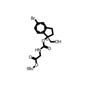 CC(C)(C)OC(=O)CNC(=O)O[C@@]1(CO)CCc2cc(Br)ccc21